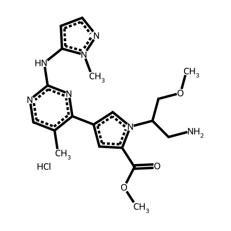 COCC(CN)n1cc(-c2nc(Nc3ccnn3C)ncc2C)cc1C(=O)OC.Cl